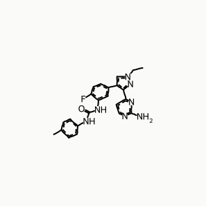 CCn1cc(-c2ccc(F)c(NC(=O)Nc3ccc(C)cc3)c2)c(-c2ccnc(N)n2)n1